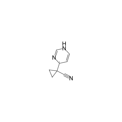 N#CC1([C]2C=CNC=N2)CC1